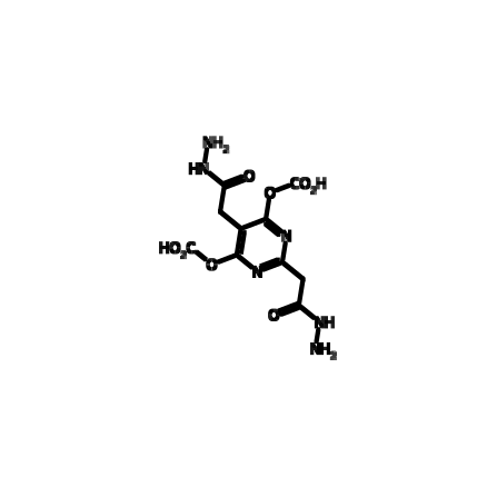 NNC(=O)Cc1nc(OC(=O)O)c(CC(=O)NN)c(OC(=O)O)n1